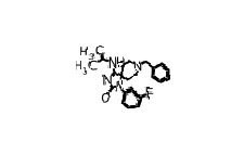 CC(C)NC1=NC(=O)N(c2cccc(F)c2)C12CCN(Cc1ccccc1)CC2